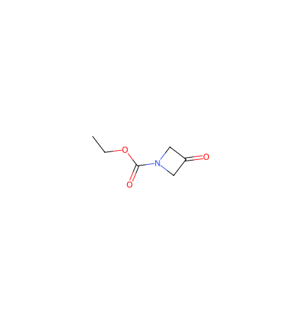 CCOC(=O)N1CC(=O)C1